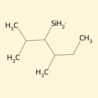 CCC(C)C([SiH2])C(C)C